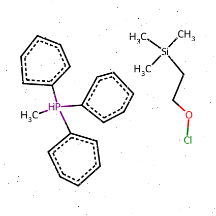 C[PH](c1ccccc1)(c1ccccc1)c1ccccc1.C[Si](C)(C)CCOCl